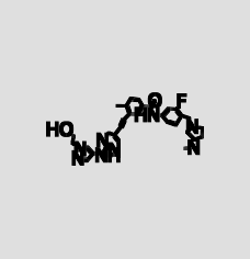 Cc1ccc(C(=O)Nc2ccc(CN3CC[C@H](N(C)C)C3)c(F)c2)cc1C#Cc1cnc(Nc2cnn(CCO)c2)nc1